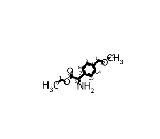 CCOC(=O)C(N)c1ccc(COC)cc1